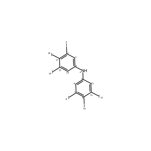 Ic1cc(Nc2cc(I)c(I)c(I)c2)cc(I)c1I